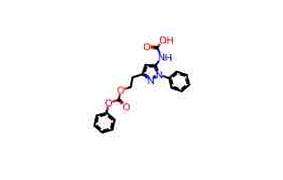 O=C(O)Nc1cc(CCOC(=O)Oc2ccccc2)nn1-c1ccccc1